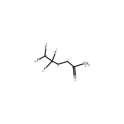 CC(=O)CCC(F)(F)C(F)F